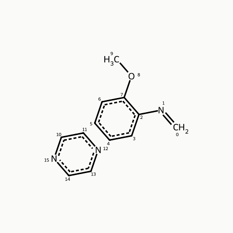 C=Nc1ccccc1OC.c1cnccn1